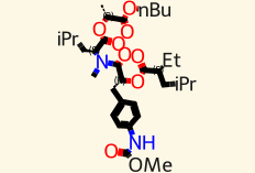 CCCCOC(=O)[C@@H](C)OC(=O)[C@H](CC(C)C)N(C)C(=O)[C@@H](Cc1ccc(NC(=O)OC)cc1)OC(=O)[C@@H](CC)CC(C)C